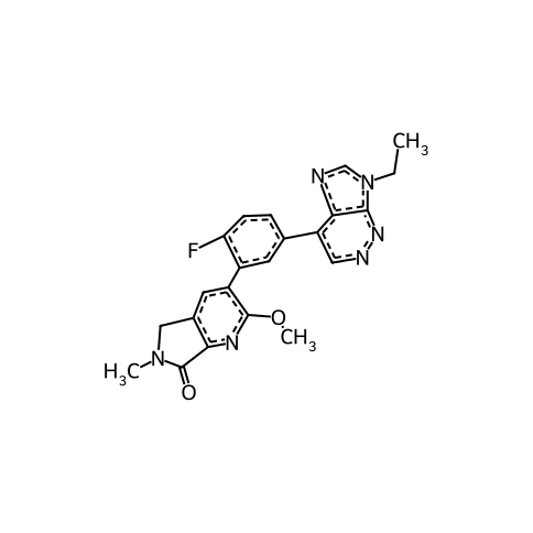 CCn1cnc2c(-c3ccc(F)c(-c4cc5c(nc4OC)C(=O)N(C)C5)c3)cnnc21